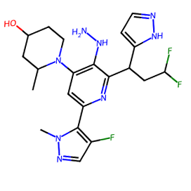 CC1CC(O)CCN1c1cc(-c2c(F)cnn2C)nc(C(CC(F)F)c2ccn[nH]2)c1NN